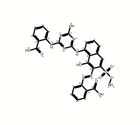 NOS(=O)(=O)c1cc2cccc(Nc3nc(O)nc(Nc4ccccc4C(=O)O)n3)c2c(O)c1N=Nc1ccccc1C(=O)O